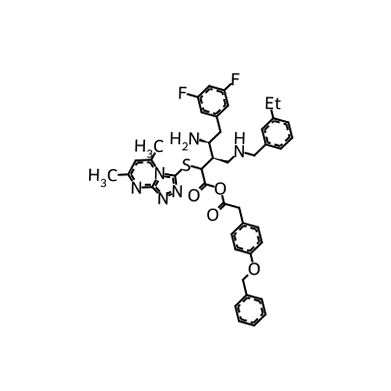 CCc1cccc(CNC[C@@H](C(Sc2nnc3nc(C)cc(C)n23)C(=O)OC(=O)Cc2ccc(OCc3ccccc3)cc2)[C@@H](N)Cc2cc(F)cc(F)c2)c1